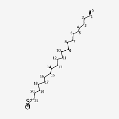 C=CCCCCCCCCCCCCCCCCCCCC[S+]=O